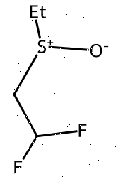 [CH2]C[S+]([O-])CC(F)F